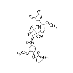 COc1cc(C(=O)NCC(O)(c2ccc(OC)c(-c3ccc(F)c(Cl)c3)n2)C(F)(F)F)ccc1OC1CCCNC1=O